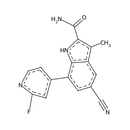 Cc1c(C(N)=O)[nH]c2c(-c3ccnc(F)c3)cc(C#N)cc12